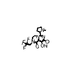 CN1CCCC1c1nc(=O)c(O)c2n1CCN(CC(F)(F)F)C2=O